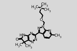 Cc1ccc2c(-c3nnc4c(n3)NC(=O)C4(C)C)nn(COCCS(C)(C)C)c2n1